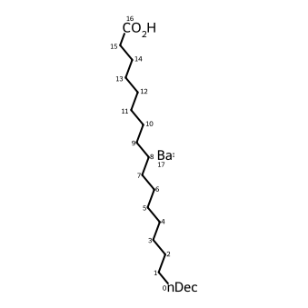 CCCCCCCCCCCCCCCCCCCCCCCCCC(=O)O.[Ba]